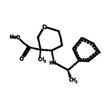 COC(=O)C1(C)COCCC1N[C@H](C)c1ccccc1